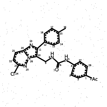 CC(=O)c1ccc(NC(=O)NCc2c(-c3ccc(C)cc3)nc3ccc(Cl)nn23)cc1